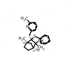 Cc1cccc(C[C@]2(Sc3ccccc3)C(C)(C)[C@H]3CC[C@]2(C)C3)n1